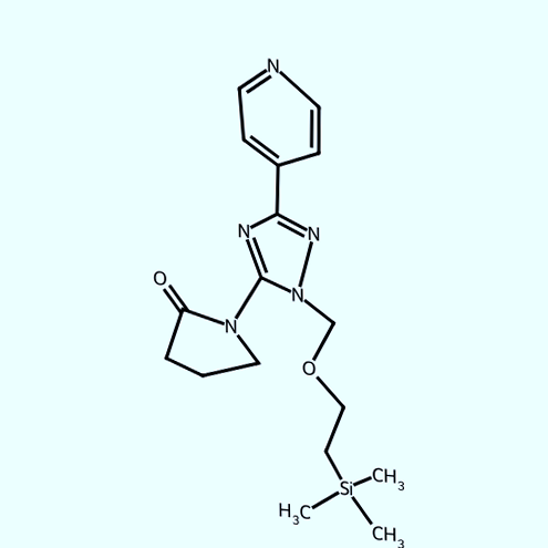 C[Si](C)(C)CCOCn1nc(-c2ccncc2)nc1N1CCCC1=O